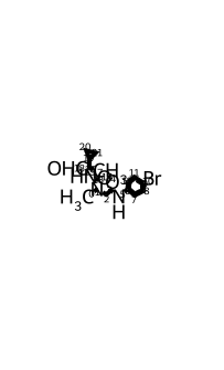 CN(CC(=O)Nc1ccc(Br)cc1)C(=O)NC(C)(C=O)C1CC1